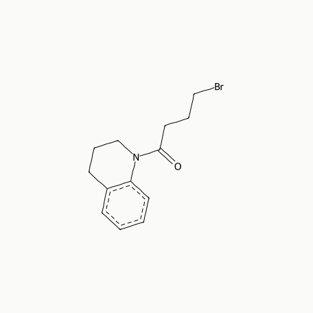 O=C(CCCBr)N1CCCc2ccccc21